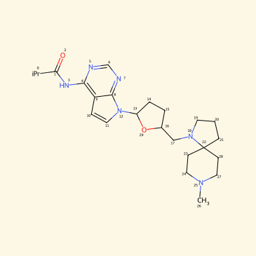 CC(C)C(=O)Nc1ncnc2c1ccn2C1CCC(CN2CCCC23CCN(C)CC3)O1